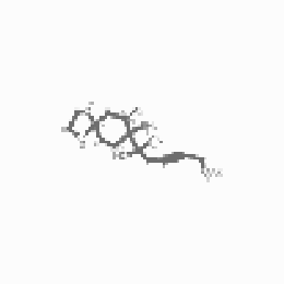 BC1(C(C#N)(C#N)CC#CCOC(C)=O)CCC2(C[C@H]1C)OCCO2